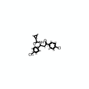 O=C(CC(NC(=O)C1CC1)c1ccc(Cl)cc1)c1ccc(Cl)cc1